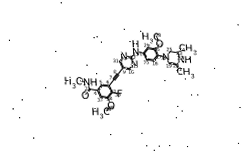 CNC(=O)c1cc(C#Cc2cnc(Nc3ccc(N4C=C(C)N[C@@H](C)C4)c(OC)c3)nc2)c(F)c(OC)c1